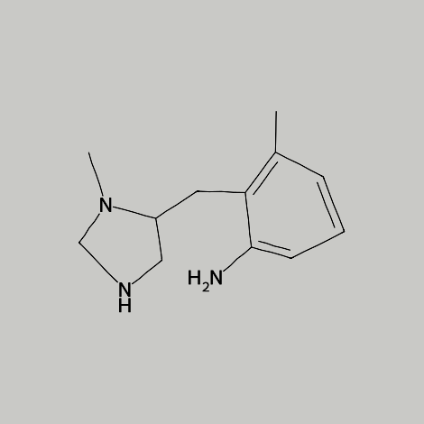 Cc1cccc(N)c1CC1CNCN1C